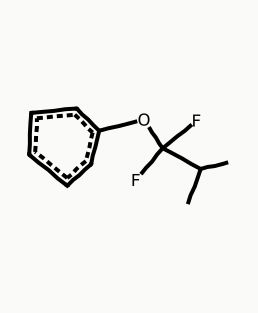 CC(C)C(F)(F)Oc1ccccc1